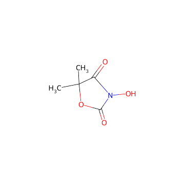 CC1(C)OC(=O)N(O)C1=O